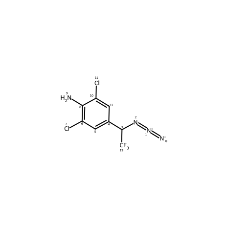 [N-]=[N+]=NC(c1cc(Cl)c(N)c(Cl)c1)C(F)(F)F